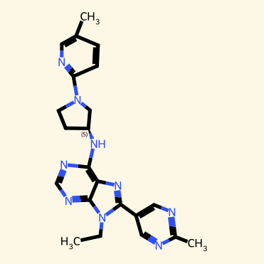 CCn1c(-c2cnc(C)nc2)nc2c(N[C@H]3CCN(c4ccc(C)cn4)C3)ncnc21